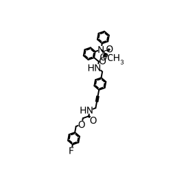 CS(=O)(=O)N(c1ccccc1)c1ccccc1C(=O)NCc1ccc(C#CCNC(=O)COCc2ccc(F)cc2)cc1